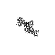 N=C(Nc1ccccc1)c1cccc2c1oc1cccc(-c3nc(-c4ccccc4)nc(-c4ccc5c6ccccc6c6ccccc6c5c4)n3)c12